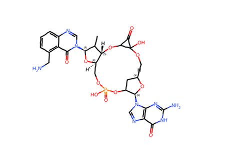 CC1[C@H](n2cnc3cccc(CN)c3c2=O)O[C@@H]2COP(=O)(O)OC3C[C@@H](COC4(O)C(=O)C4O[C@@H]12)O[C@H]3n1cnc2c(=O)[nH]c(N)nc21